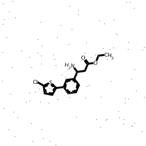 CCOC(=O)CC(N)c1cccc(-c2ccc(Cl)s2)c1